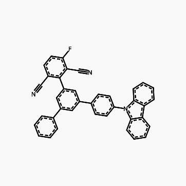 N#Cc1ccc(F)c(C#N)c1-c1cc(-c2ccccc2)cc(-c2ccc(-n3c4ccccc4c4ccccc43)cc2)c1